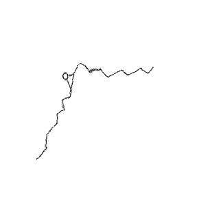 CCCCCCCCCC1OC1CCCCCCCC